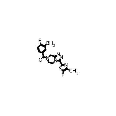 Bc1cc(C(=O)N2CCn3c(nnc3-c3nc(C)c(F)s3)C2)ccc1F